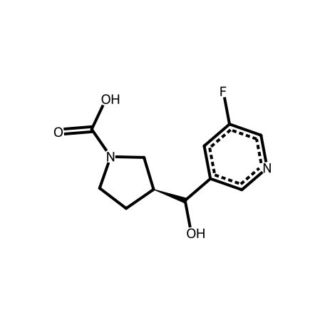 O=C(O)N1CC[C@H](C(O)c2cncc(F)c2)C1